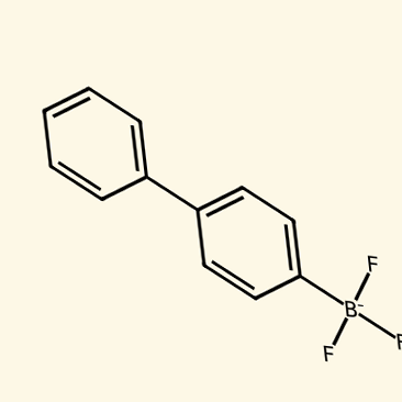 F[B-](F)(F)c1ccc(-c2ccccc2)cc1